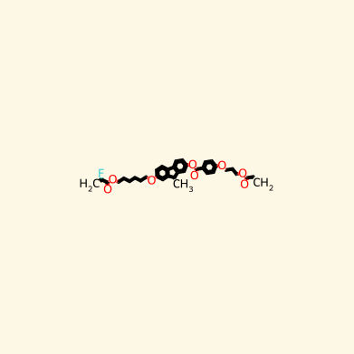 C=CC(=O)OCCCOc1ccc(C(=O)Oc2ccc3c(c2)C(C)c2cc(OCCCCCCOC(=O)C(=C)F)ccc2-3)cc1